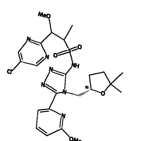 COc1cccc(-c2nnc(NS(=O)(=O)C(C)C(OC)c3ncc(Cl)cn3)n2C[C@@H]2CCC(C)(C)O2)n1